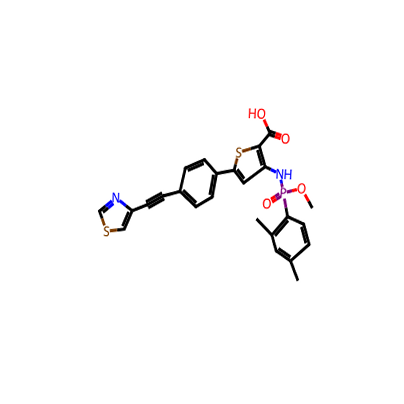 COP(=O)(Nc1cc(-c2ccc(C#Cc3cscn3)cc2)sc1C(=O)O)c1ccc(C)cc1C